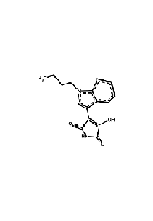 CCCCn1cc(C2=C(O)C(=O)NC2=O)c2cccnc21